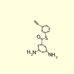 C#Cc1cccc(SC(=O)c2cc(N)cc(N)c2)c1